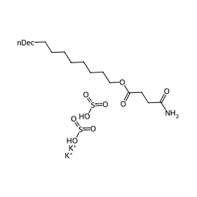 CCCCCCCCCCCCCCCCCCOC(=O)CCC(N)=O.O=[S-](=O)O.O=[S-](=O)O.[K+].[K+]